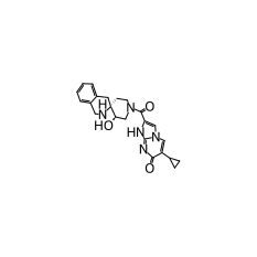 O=C(c1cn2cc(C3CC3)c(=O)nc2[nH]1)N1CC[C@]2(Cc3ccccc3CN2)[C@H](O)C1